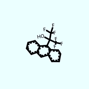 OC(c1c2ccccc2cc2ccccc12)(C(F)(F)F)C(F)(F)F